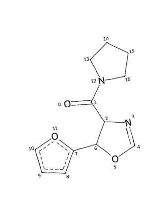 O=C(C1N=COC1c1ccco1)N1CCCC1